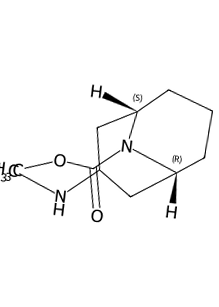 CNC1C[C@H]2CCC[C@@H](C1)N2C(=O)OC